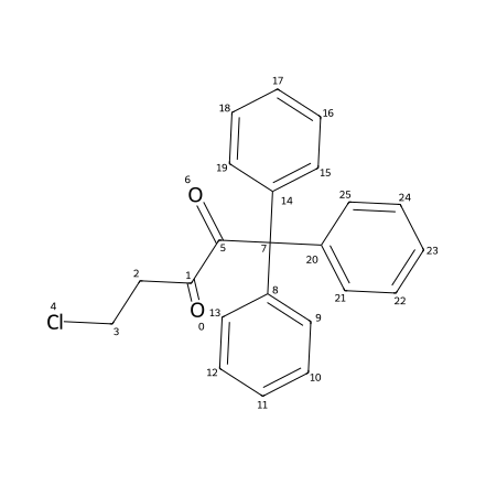 O=C(CCCl)C(=O)C(c1ccccc1)(c1ccccc1)c1ccccc1